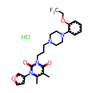 Cc1c(C)n(-c2ccoc2)c(=O)n(CCCN2CCN(c3ccccc3OCC(F)(F)F)CC2)c1=O.Cl